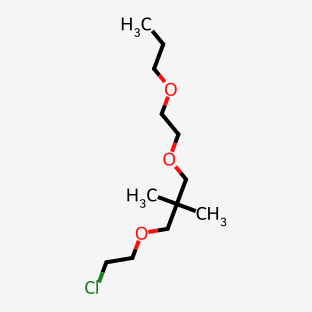 CCCOCCOCC(C)(C)COCCCl